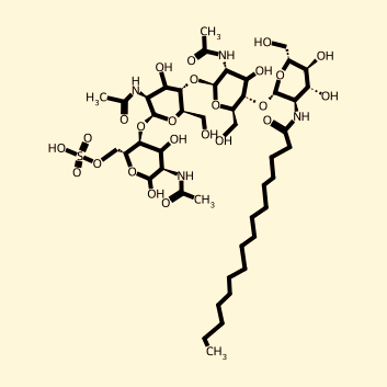 CCCCCCCCCCCCCCCC(=O)N[C@H]1[C@H](O[C@H]2C(O)[C@@H](NC(C)=O)[C@H](O[C@H]3C(O)[C@H](NC(C)=O)[C@H](O[C@H]4C(O)[C@@H](NC(C)=O)C(O)O[C@@H]4COS(=O)(=O)O)O[C@@H]3CO)O[C@@H]2CO)O[C@H](CO)[C@@H](O)[C@@H]1O